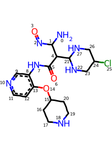 NC(N=O)C(C(=O)Nc1cnccc1OC1CCNCC1)C1NCC(Cl)CN1